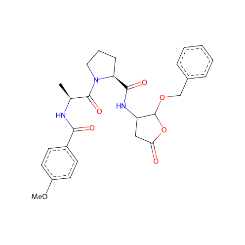 COc1ccc(C(=O)N[C@@H](C)C(=O)N2CCC[C@H]2C(=O)NC2CC(=O)OC2OCc2ccccc2)cc1